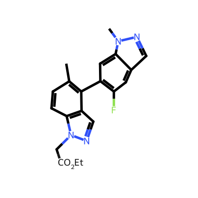 CCOC(=O)Cn1ncc2c(-c3cc4c(cnn4C)cc3F)c(C)ccc21